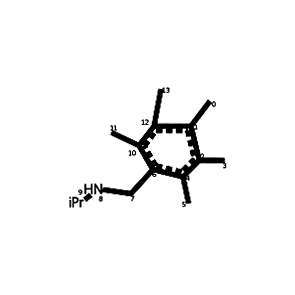 Cc1c(C)c(C)c(CNC(C)C)c(C)c1C